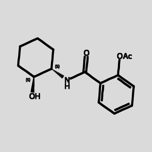 CC(=O)Oc1ccccc1C(=O)N[C@H]1CCCC[C@@H]1O